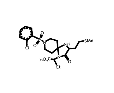 CCC(C(=O)O)N1C(=O)C(CCSC)NC12CCN(S(=O)(=O)c1ccccc1Cl)CC2